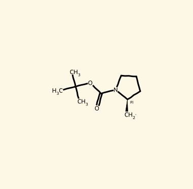 [CH2][C@@H]1CCCN1C(=O)OC(C)(C)C